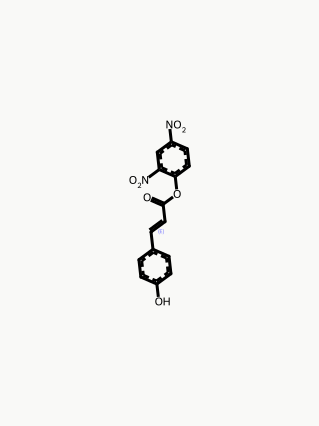 O=C(/C=C/c1ccc(O)cc1)Oc1ccc([N+](=O)[O-])cc1[N+](=O)[O-]